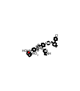 CC1(C)CCC(CN2CCN(c3ccc(C(=O)NS(=O)(=O)c4ccc(NC56CC7CC(CC(O)(C7)C5)C6)c([N+](=O)[O-])c4)c(Oc4cnc5[nH]ccc5c4)c3)CC2)=C(c2ccc(Cl)cc2)C1